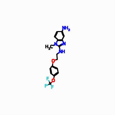 Cn1c(NCCOc2ccc(OC(F)(F)F)cc2)nc2cc(N)ccc21